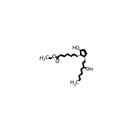 CCCCCC(O)CC[C@H]1C=C[C@H](O)[C@H]1CCCCCCC(=O)OCC